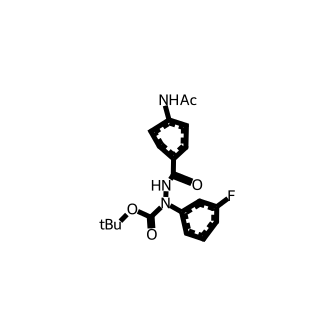 CC(=O)Nc1ccc(C(=O)NN(C(=O)OC(C)(C)C)c2cccc(F)c2)cc1